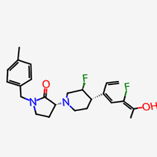 C=C/C(=C\C(F)=C(/C)O)[C@@H]1CCN([C@@H]2CCN(Cc3ccc(C)cc3)C2=O)C[C@H]1F